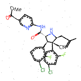 C=C(C)C[C@@H]1N[C@@H](C(=O)Nc2ccc(C(=O)OC)cn2)[C@H](c2cccc(Cl)c2F)[C@@]1(C#N)c1ccc(Cl)cc1F